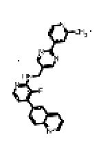 Cc1cc(-c2ncc(CNc3nccc(-c4ccc5ncccc5c4)c3F)cn2)ccn1